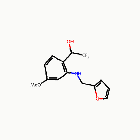 COc1ccc(C(O)C(F)(F)F)c(NCc2ccco2)c1